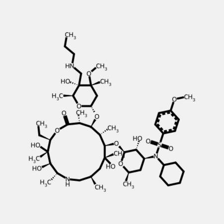 CCCNC[C@]1(O)[C@H](C)O[C@@H](O[C@H]2[C@H](C)[C@@H](O[C@@H]3O[C@H](C)C[C@H](N(C4CCCCC4)S(=O)(=O)c4ccc(OC)cc4)[C@H]3O)[C@](C)(O)C[C@@H](C)CN[C@H](C)[C@@H](O)[C@](C)(O)[C@@H](CC)OC(=O)[C@@H]2C)C[C@@]1(C)OC